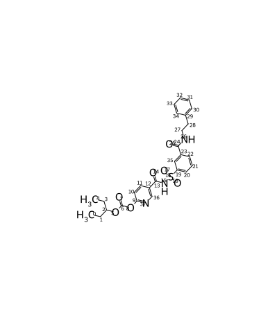 CCC(CC)OC(=O)Oc1ccc(C(=O)NS(=O)(=O)c2cccc(C(=O)NCCc3ccccc3)c2)cn1